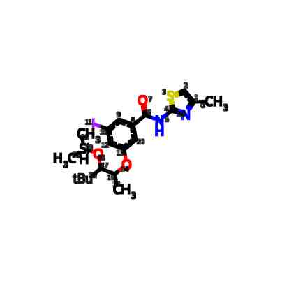 Cc1csc(NC(=O)c2cc(I)cc(OC(C)C(O[SiH](C)C)C(C)(C)C)c2)n1